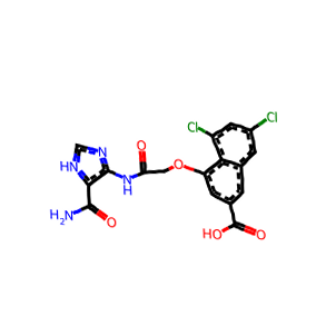 NC(=O)c1[nH]cnc1NC(=O)COc1cc(C(=O)O)cc2cc(Cl)cc(Cl)c12